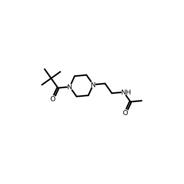 CC(=O)NCCN1CCN(C(=O)C(C)(C)C)CC1